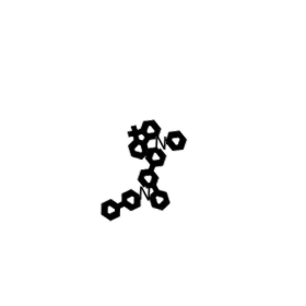 CC1(C)c2ccccc2-c2c(N(c3ccccc3)c3ccc(-c4ccc5c(c4)c4ccccc4n5-c4ccc(-c5ccccc5)cc4)cc3)cccc21